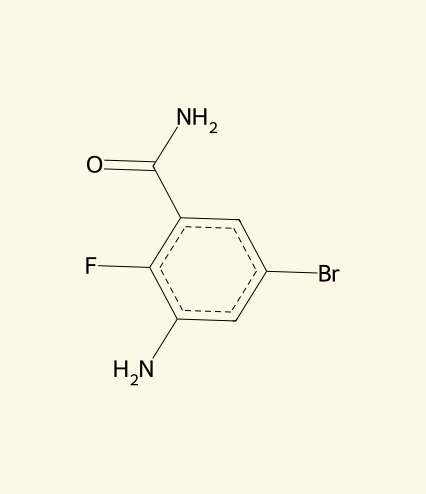 NC(=O)c1cc(Br)cc(N)c1F